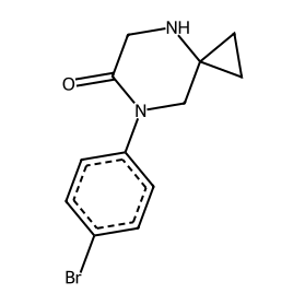 O=C1CNC2(CC2)CN1c1ccc(Br)cc1